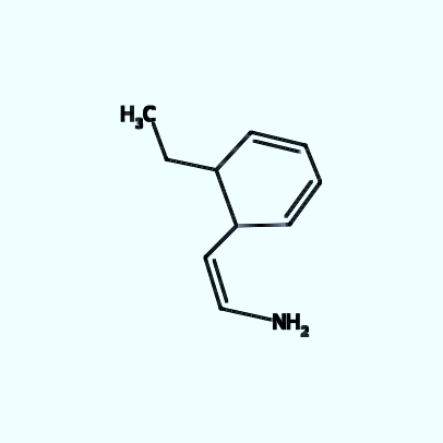 CCC1C=CC=CC1/C=C\N